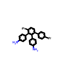 CC(C)c1ccc(-c2ccc(C(C)C)c(-c3ccc(N)cc3)c2-c2ccc(N)cc2)cc1